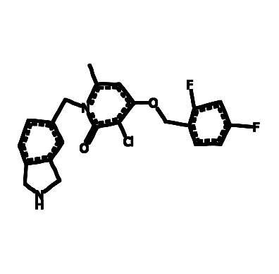 Cc1cc(OCc2ccc(F)cc2F)c(Cl)c(=O)n1Cc1ccc2c(c1)CNC2